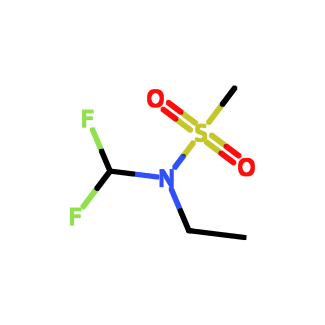 CCN(C(F)F)S(C)(=O)=O